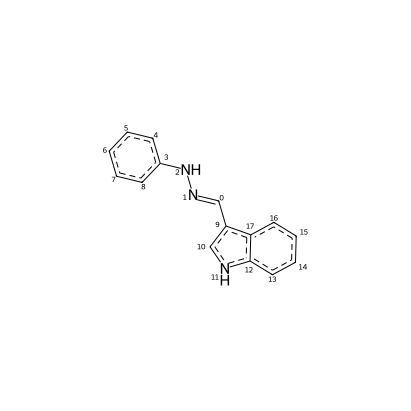 C(=NNc1ccccc1)c1c[nH]c2ccccc12